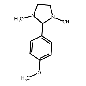 COc1ccc(C2N(C)CCN2C)cc1